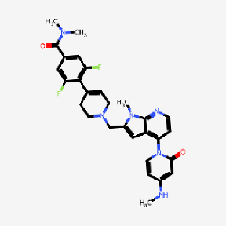 CNc1ccn(-c2ccnc3c2cc(CN2CC=C(c4c(F)cc(C(=O)N(C)C)cc4F)CC2)n3C)c(=O)c1